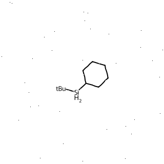 CC(C)(C)[SiH2]C1CCCCC1